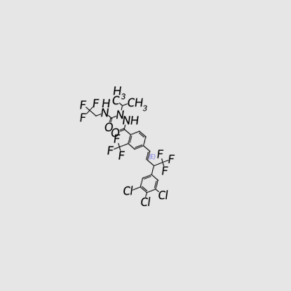 CC(C)N(NC(=O)c1ccc(/C=C/C(c2cc(Cl)c(Cl)c(Cl)c2)C(F)(F)F)cc1C(F)(F)F)C(=O)NCC(F)(F)F